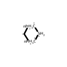 CCCCCCC.C[SiH2]C